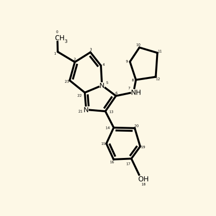 CCc1ccn2c(NC3CCCC3)c(-c3ccc(O)cc3)nc2c1